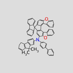 CC1(C)C2=C(CCC=C2)c2ccc(N(c3ccc(-c4ccccc4)cc3)c3cc4c(c5c3oc3ccccc35)-c3c(ccc5oc6ccccc6c35)C43c4ccccc4-c4ccccc43)cc21